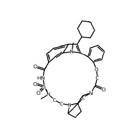 CN1CCN2C3CCC2CN(C3)C(=O)COc2ccccc2-c2c(C3CCCCC3)c3ccc(cc3n2C)C(=O)NS1(=O)=O